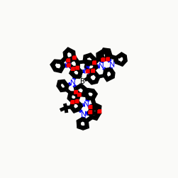 CC(C)(C)c1cc(-c2ccc3c(c2)N(c2ccccc2-c2ccccc2)c2cc(-n4c5ccccc5c5ccccc54)cc4c2B3c2ccc(-c3cccc(-n5c6ccccc6c6ccccc65)c3-n3c5ccccc5c5ccccc53)cc2N4c2ccccc2-c2ccccc2)c(-n2c3ccccc3c3ccccc32)c(-n2c3ccccc3c3ccccc32)c1